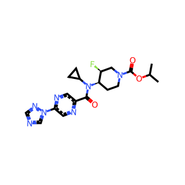 CC(C)OC(=O)N1CC[C@@H](N(C(=O)c2cnc(-n3cncn3)cn2)C2CC2)[C@@H](F)C1